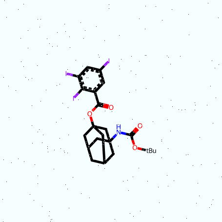 CC(C)(C)OC(=O)NC12CC3CC(C1)CC(OC(=O)c1cc(I)cc(I)c1I)(C3)C2